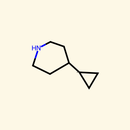 C1CC([C]2CC2)CCN1